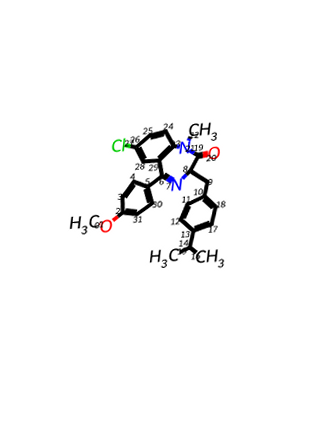 COc1ccc(C2=NC(Cc3ccc(C(C)C)cc3)C(=O)N(C)c3ccc(Cl)cc32)cc1